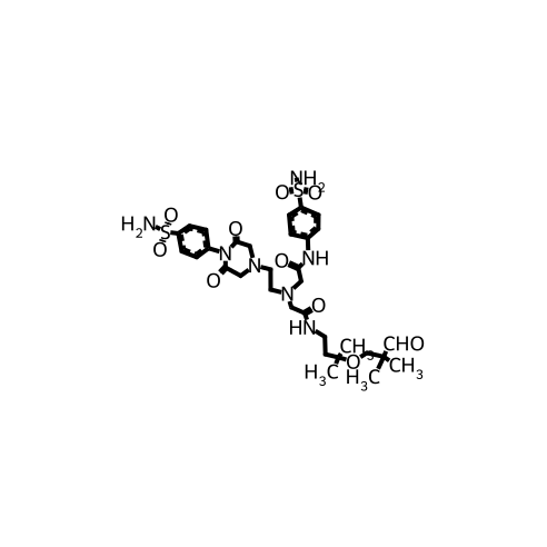 CC(C)(C=O)COC(C)(C)CCNC(=O)CN(CCN1CC(=O)N(c2ccc(S(N)(=O)=O)cc2)C(=O)C1)CC(=O)Nc1ccc(S(N)(=O)=O)cc1